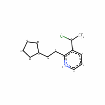 FC(F)(F)C(Cl)c1cccnc1CCC1CCCC1